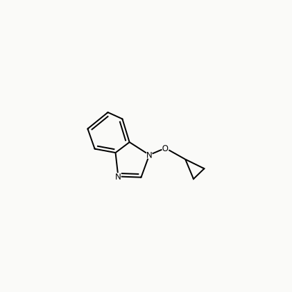 c1ccc2c(c1)ncn2OC1CC1